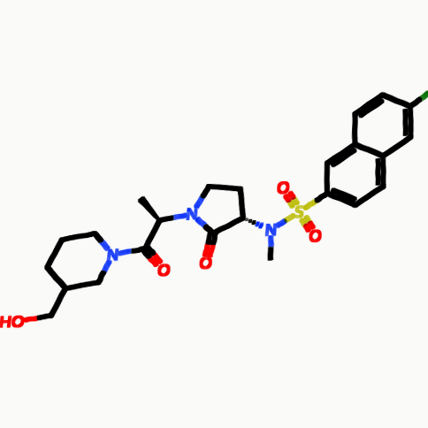 C[C@H](C(=O)N1CCCC(CO)C1)N1CC[C@H](N(C)S(=O)(=O)c2ccc3cc(Cl)ccc3c2)C1=O